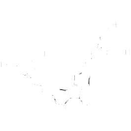 CCCN(CCC)CCOc1ccc2c(c1)-c1cc(OCCN(CCC)CCC)ccc1C2=O